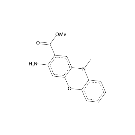 COC(=O)c1cc2c(cc1N)Oc1ccccc1N2C